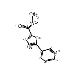 NNC(=O)c1nnc(-c2cccnc2)o1